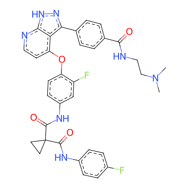 CN(C)CCNC(=O)c1ccc(-c2n[nH]c3nccc(Oc4ccc(NC(=O)C5(C(=O)Nc6ccc(F)cc6)CC5)cc4F)c23)cc1